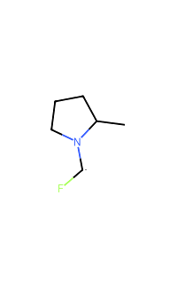 CC1CCCN1[CH]F